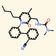 CCCCc1cc(C)c(CNC(=O)N(C)C)c(=O)n1-c1ccccc1-c1ccccc1C#N